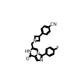 N#Cc1ccc(C2CN(Cc3cn4c(-c5ccc(F)cc5)ncc4c(=O)[nH]3)C2)cc1